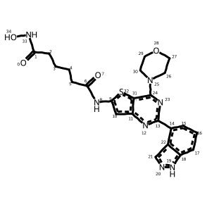 O=C(CCCCC(=O)Nc1cc2nc(-c3cccc4[nH]ncc34)nc(N3CCOCC3)c2s1)NO